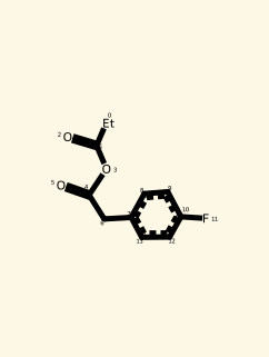 [CH2]CC(=O)OC(=O)Cc1ccc(F)cc1